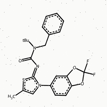 Cc1cn(-c2ccc3c(c2)OC(F)(F)O3)c(=NC(=O)N(Cc2ccccc2)C(C)(C)C)s1